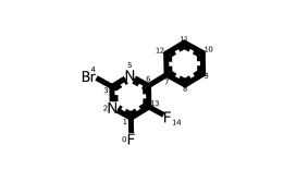 Fc1nc(Br)nc(-c2ccccc2)c1F